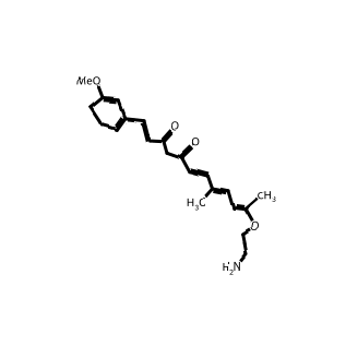 COC1=CC(/C=C/C(=O)CC(=O)/C=C/C(C)=C/C=C(\C)OCCN)=CCC1